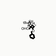 CC(C)(C)[Si](C)(C)OC1(CC=O)CCC1OCc1ccccc1